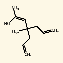 C=CCC(C)(C=C(C)O)CC=C